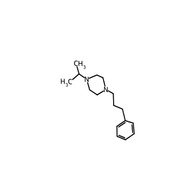 CC(C)N1CCN(CCCc2ccccc2)CC1